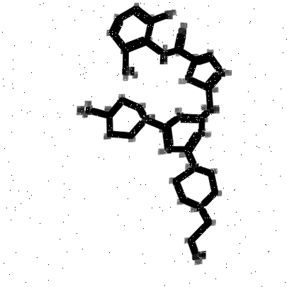 Cc1cccc(Cl)c1NC(=O)c1cnc(Nc2nc(N3CCC(C)CC3)nc(N3CCN(CCO)CC3)n2)s1